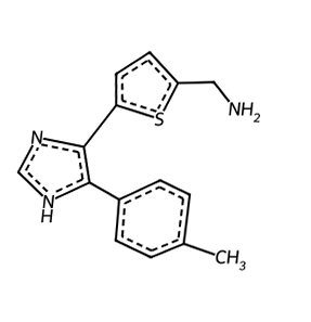 Cc1ccc(-c2[nH]cnc2-c2ccc(CN)s2)cc1